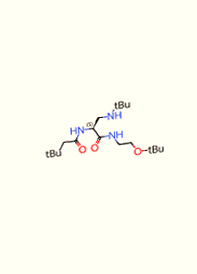 CC(C)(C)CC(=O)N[C@@H](CNC(C)(C)C)C(=O)NCCOC(C)(C)C